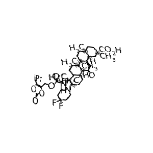 CC(C)c1oc(=O)oc1COC(=O)N[C@@]1(C)C2CC[C@]3(C)[C@H](C(=O)C=C4[C@@H]5C[C@@](C)(C(=O)O)CC[C@]5(C)CC[C@]43C)[C@@]2(C)CC[C@@H]1N1CCC(F)(F)CC1